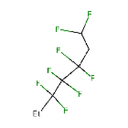 CCC(F)(F)C(F)(F)C(F)(F)CC(F)F